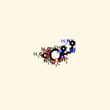 CC[C@H]1OC(=O)[C@H](C)C(=O)[C@H](C)[C@@H](O[C@@H]2OC(C)CC(C)C2O)[C@](C)(OC)C[C@@H](C)CN[C@H](Cc2ccccc2)[C@H]2N(CCCCn3cc(-c4cccc(N)c4)nn3)C(=O)O[C@]12C